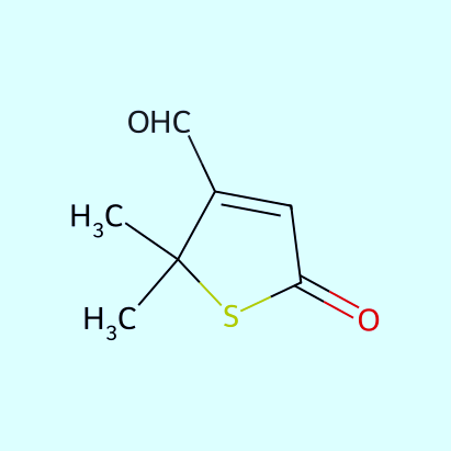 CC1(C)SC(=O)C=C1C=O